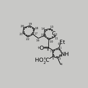 CCc1[nH]c(C)c(C(=O)O)c1C(=O)c1ccccc1Cc1ccccc1